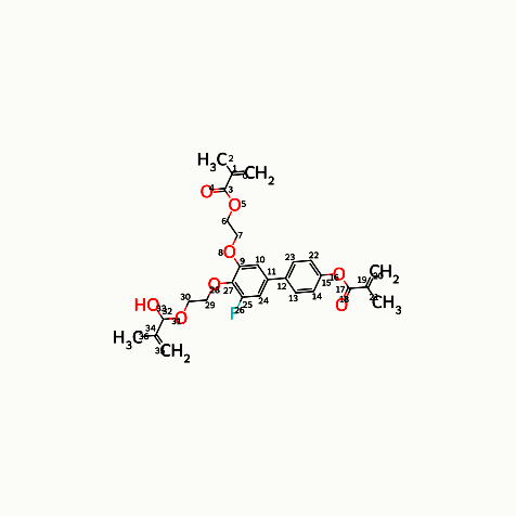 C=C(C)C(=O)OCCOc1cc(-c2ccc(OC(=O)C(=C)C)cc2)cc(F)c1OCCOC(O)C(=C)C